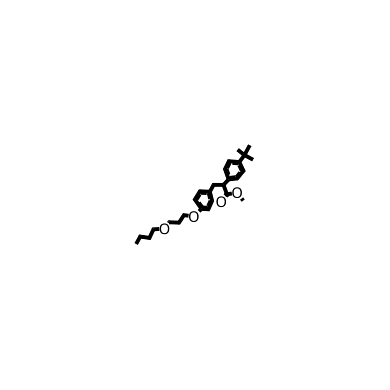 CCCCOCCCOc1ccc(CC(C(=O)OC)c2ccc(C(C)(C)C)cc2)cc1